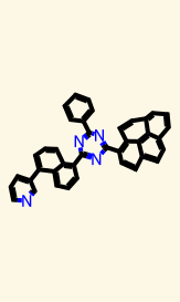 c1ccc(-c2nc(-c3cccc4c(-c5cccnc5)cccc34)nc(-c3ccc4ccc5cccc6ccc3c4c56)n2)cc1